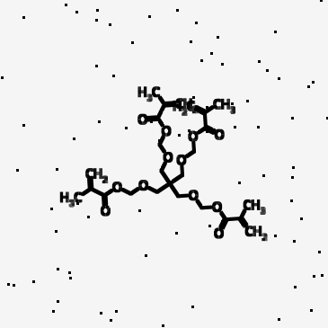 C=C(C)C(=O)OCOCC(COCOC(=O)C(=C)C)(COCOC(=O)C(=C)C)COCOC(=O)C(=C)C